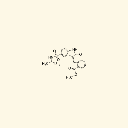 COC(=O)c1ccccc1C=C1C(=O)Nc2ccc(S(=O)(=O)NC(C)C)cc21